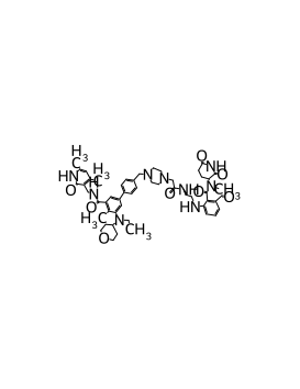 CCN(c1cc(-c2ccc(CN3CCN(CC(=O)NCCNc4cccc(C=O)c4C(=O)N(C)C4CCC(=O)NC4=O)CC3)cc2)cc(C(=O)NCc2c(C)cc(C)[nH]c2=O)c1C)C1CCOCC1